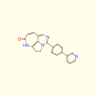 O=C1C=CC2=CN=C(c3ccc(-c4cccnc4)cc3)N3CCC(=C23)N1